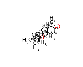 C[C@@H]1C(=O)CC[C@]2(C)C(O[Si](C)(C)C(C)(C)C)CC[C@@H]12